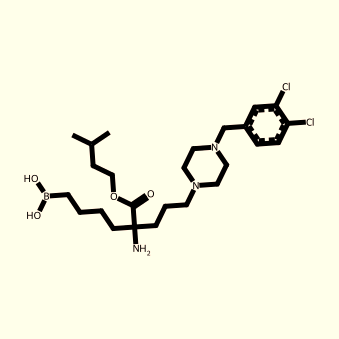 CC(C)CCOC(=O)C(N)(CCCCB(O)O)CCCN1CCN(Cc2ccc(Cl)c(Cl)c2)CC1